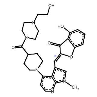 Cn1cc(/C=C2\Oc3cccc(O)c3C2=O)c2c(N3CCC(C(=O)N4CCN(CCO)CC4)CC3)ccnc21